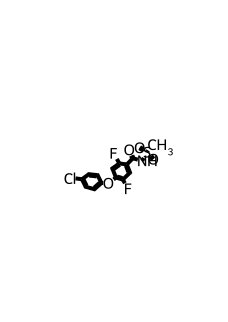 CS(=O)(=O)NC(=O)c1cc(F)c(Oc2ccc(Cl)cc2)cc1F